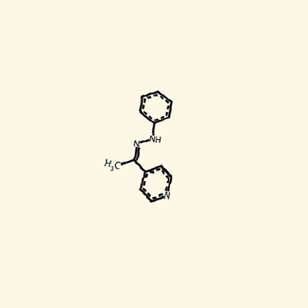 CC(=NNc1ccccc1)c1ccncc1